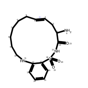 NC1C/C=C/CCCCCCNc2ccccc2S(=O)(=O)NC1=O